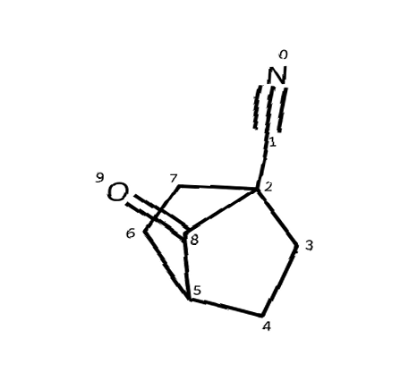 N#CC12[CH]CC(CC1)C2=O